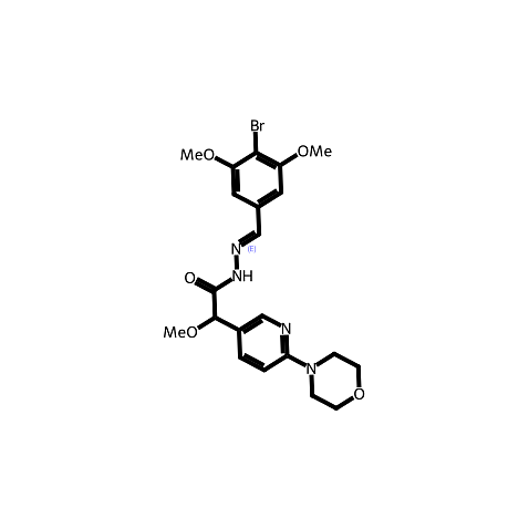 COc1cc(/C=N/NC(=O)C(OC)c2ccc(N3CCOCC3)nc2)cc(OC)c1Br